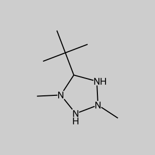 CN1NC(C(C)(C)C)N(C)N1